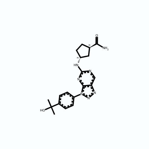 CC(C)(O)c1ccc(-n2nnc3cnc(N[C@@H]4CC[C@@H](C(N)=O)C4)nc32)cc1